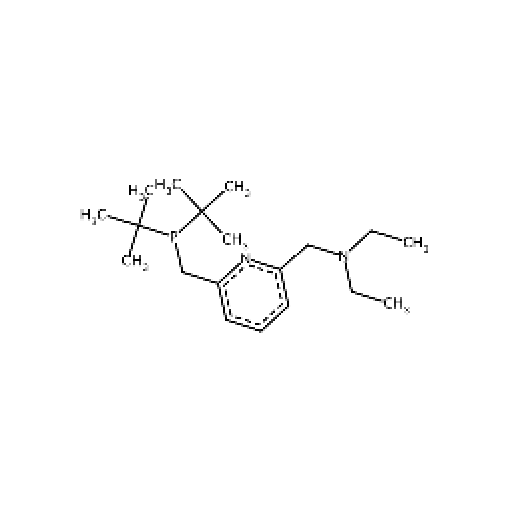 CCN(CC)Cc1cccc(CP(C(C)(C)C)C(C)(C)C)n1